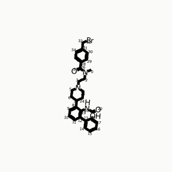 CN(CCN1CCC(c2cccc(-c3ccccc3)c2NC(=O)O)CC1)C(=O)c1ccc(CBr)cc1